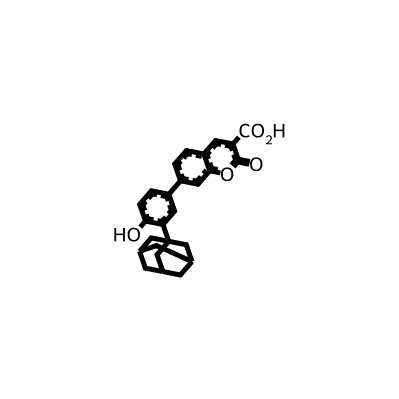 O=C(O)c1cc2ccc(-c3ccc(O)c(C45CC6CC(CC(C6)C4)C5)c3)cc2oc1=O